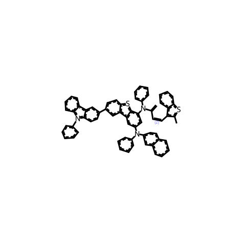 C=C(/C=C\c1c(C)sc2ccccc12)N(c1ccccc1)c1cc(N(c2ccccc2)c2ccc3ccccc3c2)cc2c1sc1ccc(-c3ccc4c(c3)c3ccccc3n4-c3ccccc3)cc12